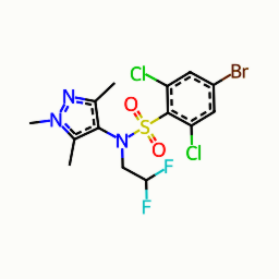 Cc1nn(C)c(C)c1N(CC(F)F)S(=O)(=O)c1c(Cl)cc(Br)cc1Cl